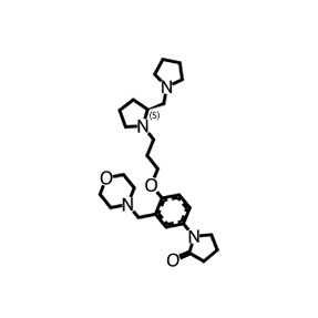 O=C1CCCN1c1ccc(OCCCN2CCC[C@H]2CN2CCCC2)c(CN2CCOCC2)c1